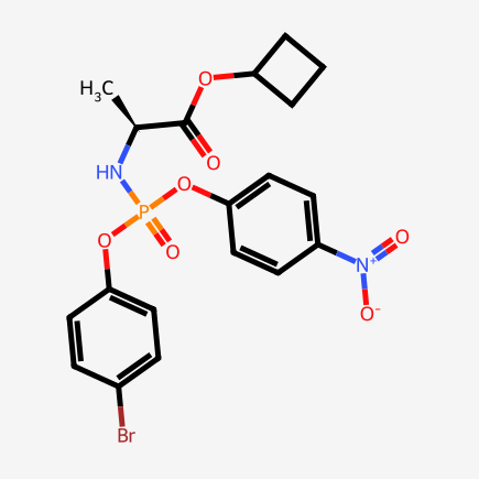 C[C@H](NP(=O)(Oc1ccc(Br)cc1)Oc1ccc([N+](=O)[O-])cc1)C(=O)OC1CCC1